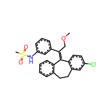 COC/C(=C1/c2ccccc2CCc2cc(Cl)ccc21)c1cccc(NS(C)(=O)=O)c1